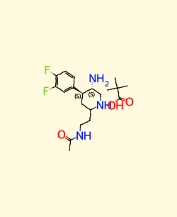 CC(=O)NCCC1C[C@@H](c2ccc(F)c(F)c2)[C@H](N)CN1.CC(C)(C)C(=O)O